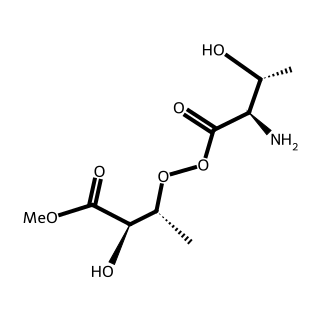 COC(=O)[C@H](O)[C@@H](C)OOC(=O)[C@H](N)[C@@H](C)O